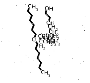 C=C.C=C.C=C.C=C.C=C.CCCCCCCOCCCCCCC.OCCO